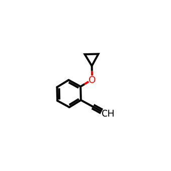 C#Cc1ccccc1OC1CC1